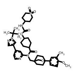 COc1ccc(C23CCC(CN(C(=O)C4CCC(OC(=O)NC5CCS(=O)(=O)CC5)CC4)c4cc(-c5cnn(C(C)(C)C)c5)ccn4)(CC2)CC3)cc1C